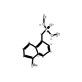 CCCCc1cccc2c(CP(=O)(OCC)OCC)cccc12